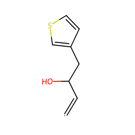 [CH]=CC(O)Cc1ccsc1